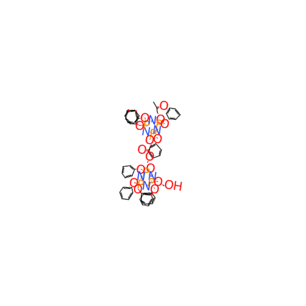 CC(=O)COP1(Oc2ccccc2)=NP(OCC(=O)OCOP2(Oc3ccccc3)=NP(OCO)(Oc3ccccc3)=NP(Oc3ccccc3)(Oc3ccccc3)=N2)(Oc2ccccc2)=NP(Oc2ccccc2)(Oc2ccccc2)=N1